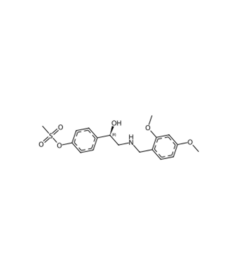 COc1ccc(CNC[C@H](O)c2ccc(OS(C)(=O)=O)cc2)c(OC)c1